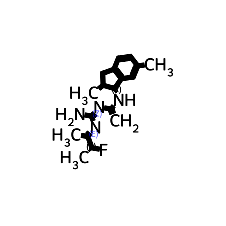 C=C(/N=C(N)\N=C(/C)[C@@H](C)F)N[C@H]1c2cc(C)ccc2CC1C